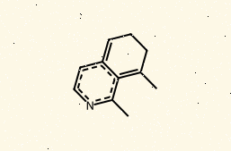 CC1=c2c(C)nccc2=CCC1